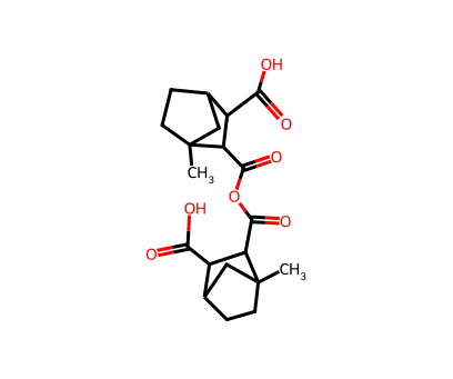 CC12CCC(C1)C(C(=O)O)C2C(=O)OC(=O)C1C(C(=O)O)C2CCC1(C)C2